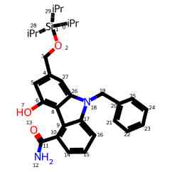 CC(C)[Si](OCc1cc(O)c2c3c(C(N)=O)cccc3n(Cc3ccccc3)c2c1)(C(C)C)C(C)C